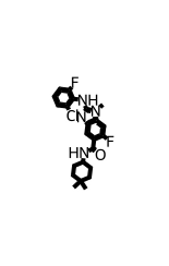 Cn1c(Nc2c(F)cccc2Cl)nc2cc(C(=O)NC3CCC(C)(C)CC3)c(F)cc21